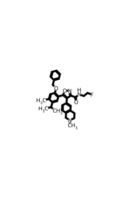 Cc1cc(OCc2ccccc2)c(-c2onc(C(=O)NCCF)c2-c2ccc3c(c2)CCN(C)C3)cc1C(C)C